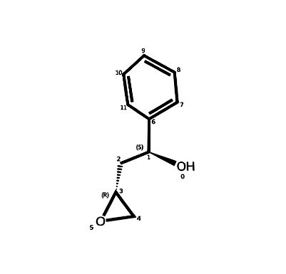 O[C@@H](C[C@@H]1CO1)c1ccccc1